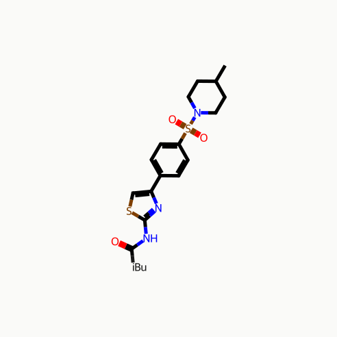 CCC(C)C(=O)Nc1nc(-c2ccc(S(=O)(=O)N3CCC(C)CC3)cc2)cs1